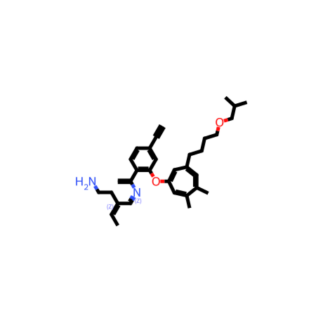 C#Cc1ccc(C(=C)/N=C\C(=C/C)CCN)c(OC2=CC(CCCCOCC(C)C)=C=C(C)C(C)=C2)c1